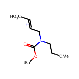 COCCN(C/C=C/C(=O)O)C(=O)OC(C)(C)C